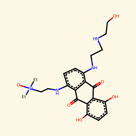 CC[N+]([O-])(CC)CCNc1ccc(NCCNCCO)c2c1C(=O)c1c(O)ccc(O)c1C2=O